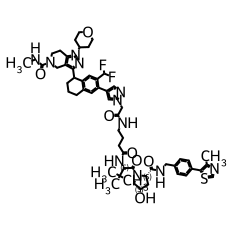 CNC(=O)N1CCc2c(c(C3CCCc4cc(-c5cnn(CC(=O)NCCCC(=O)N[C@H](C(=O)N6C[C@@H](O)C[C@H]6C(=O)NCc6ccc(-c7scnc7C)cc6)C(C)(C)C)c5)c(C(F)F)cc43)nn2C2CCOCC2)C1